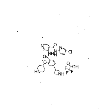 O=C(Nc1ccc(Cl)cn1)c1ccncc1NC(=O)c1ccc(C2CCNC2)cc1OC1CCNCC1.O=C(O)C(F)(F)F